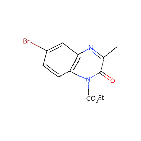 CCOC(=O)n1c(=O)c(C)nc2cc(Br)ccc21